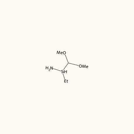 CC[SiH](N)C(OC)OC